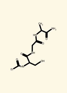 CCC(=O)NC(CO)C(=O)NCC(=O)NC(C)C(N)=O